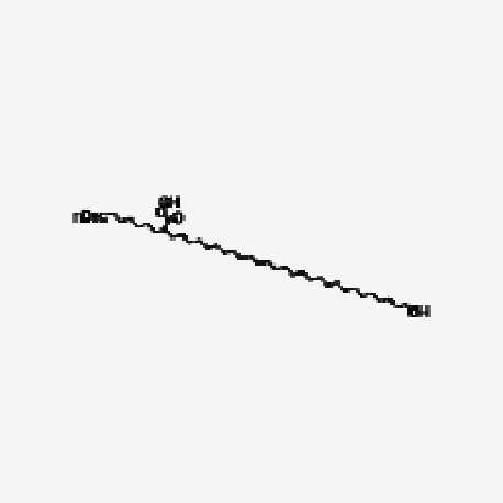 CCCCCCCCCCCCCCCCC(CCCCCCCCCCCCCCCCCCCCCCCCCCCCO)C(=O)OO